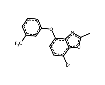 Cc1nc2c(Oc3cccc(C(F)(F)F)c3)ccc(Br)c2o1